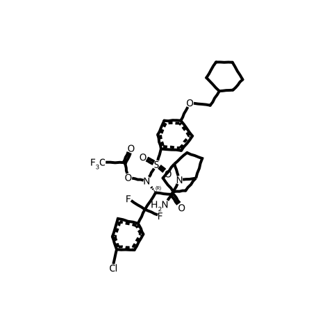 NC1CC2CCC(C1)N2C(=O)[C@@H](N(OC(=O)C(F)(F)F)S(=O)(=O)c1ccc(OCC2CCCCC2)cc1)C(F)(F)c1ccc(Cl)cc1